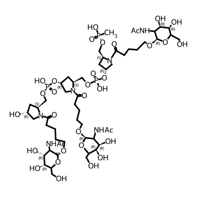 CC(=O)NC1[C@H](OCCCCC(=O)N2C[C@H](O)C[C@H]2COP(=O)(O)O[C@@H]2C[C@@H](COP(=O)(O)O[C@@H]3C[C@@H](COP(C)(=O)O)N(C(=O)CCCCO[C@@H]4OC(CO)[C@H](O)[C@H](O)C4NC(C)=O)C3)N(C(=O)CCCCO[C@@H]3OC(CO)[C@H](O)[C@H](O)C3NC(C)=O)C2)OC(CO)[C@H](O)[C@@H]1O